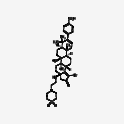 CC(C)C1=C2[C@H]3CC[C@@H]4[C@@]5(C)CC=C(c6ccc(C(=O)O)cc6)C(C)(C)[C@@H]5CC[C@@]4(C)[C@]3(C)CC[C@@]2(NCCN2CCS(=O)(=O)CC2)CC1=O